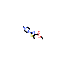 CCOC(=O)c1nc(N2CCN(C)CC2)sc1C